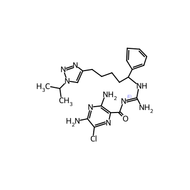 CC(C)n1cc(CCCCC(N/C(N)=N/C(=O)c2nc(Cl)c(N)nc2N)c2ccccc2)nn1